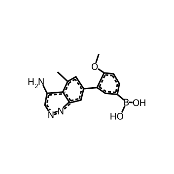 COc1ccc(B(O)O)cc1-c1cc(C)c2c(N)cnnc2c1